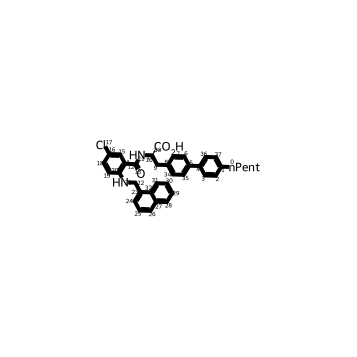 CCCCCc1ccc(-c2ccc(C[C@H](NC(=O)c3cc(Cl)ccc3NCc3cccc4ccccc34)C(=O)O)cc2)cc1